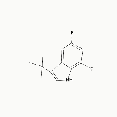 CC(C)(C)c1c[nH]c2c(F)cc(F)cc12